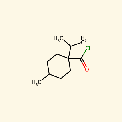 CC1CCC(C(=O)Cl)(C(C)C)CC1